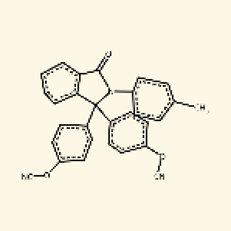 Cc1ccc(N2C(=O)c3ccccc3C2(c2ccc(OC#N)cc2)c2ccc(OC#N)cc2)cc1